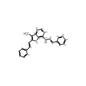 Cc1c(/C=C/c2ccccc2)sc2c(NN=Cc3cccnc3)ncnc12